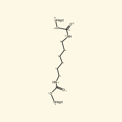 CCCCCCCOC(=O)NCCCCCCNC(=O)OCCCCCCC